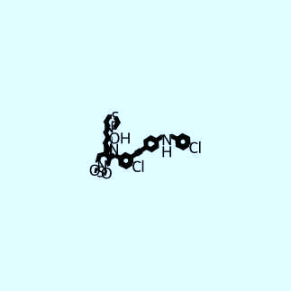 CS(=O)(=O)N1CCc2c(c(-c3ccc(Cl)c(C#CC4C=CC(CNCc5ccc(Cl)cc5)=CC4)c3)nn2C[C@H](O)CN2CCSCC2)C1